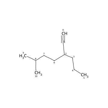 C#CC(CCC)CCC(C)C